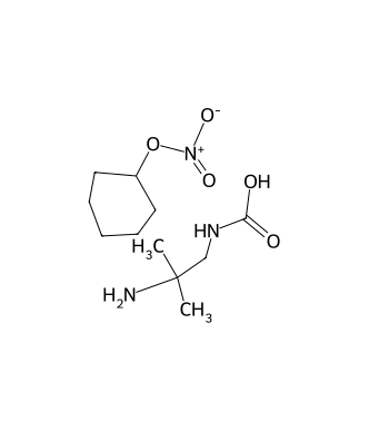 CC(C)(N)CNC(=O)O.O=[N+]([O-])OC1CCCCC1